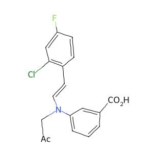 CC(=O)CN(C=Cc1ccc(F)cc1Cl)c1cccc(C(=O)O)c1